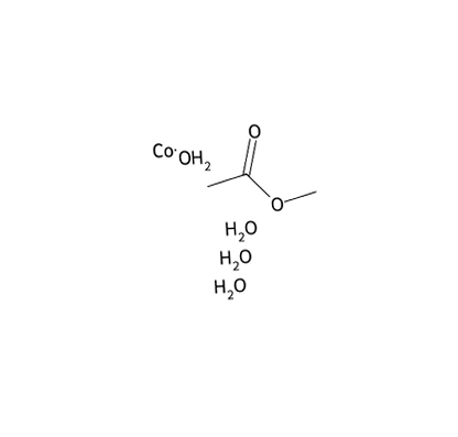 COC(C)=O.O.O.O.O.[Co]